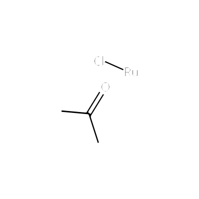 CC(C)=O.[Cl][Ru]